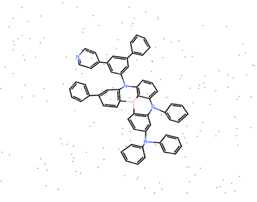 c1ccc(-c2cc(-c3ccncc3)cc(N3c4cc(-c5ccccc5)ccc4B4c5ccc(N(c6ccccc6)c6ccccc6)cc5N(c5ccccc5)c5cccc3c54)c2)cc1